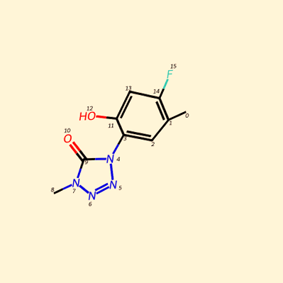 Cc1cc(-n2nnn(C)c2=O)c(O)cc1F